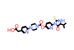 CC(C)C1NC(=S)N(c2ccc(OC(=O)N3CCN(c4ccc(CC(=O)O)cn4)CC3)cn2)C1=O